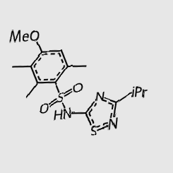 COc1cc(C)c(S(=O)(=O)Nc2nc(C(C)C)ns2)c(C)c1C